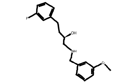 COc1cccc(CNC[C@H](O)[CH]Cc2cccc(F)c2)c1